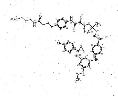 COCCCNC(=O)CCCc1ccc(NC(=O)C(=O)NCC(C)(C)CNC(=O)c2ccc(Nc3nc(NC4(c5ccc(Cl)cc5)CC4)nc(OCC(F)(F)F)n3)cc2)cc1